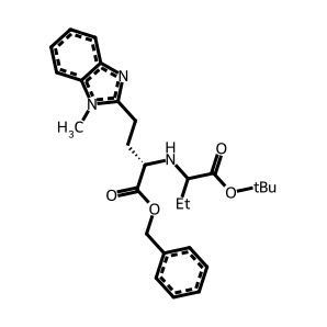 CCC(N[C@@H](CCc1nc2ccccc2n1C)C(=O)OCc1ccccc1)C(=O)OC(C)(C)C